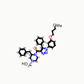 COCCCOc1cccc(-n2nnc(C(=O)N3CCN(C(=O)O)CC3Cc3ccccc3)c2-c2ccccc2)c1